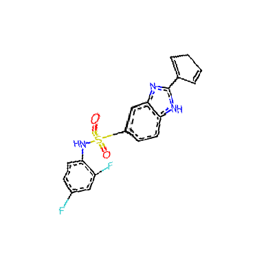 O=S(=O)(Nc1ccc(F)cc1F)c1ccc2[nH]c(C3=CCC=C3)nc2c1